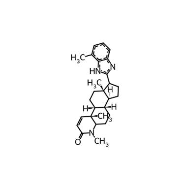 Cc1cccc2nc(C3CC[C@H]4[C@@H]5CCC6N(C)C(=O)C=C[C@]6(C)[C@@H]5CC[C@]34C)[nH]c12